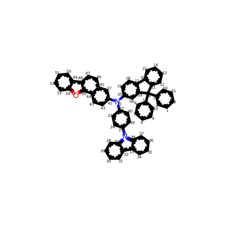 c1ccc(C2(c3ccccc3)c3ccccc3-c3ccc(N(c4ccc(-n5c6ccccc6c6ccccc65)cc4)c4ccc5c(ccc6c7ccccc7oc56)c4)cc32)cc1